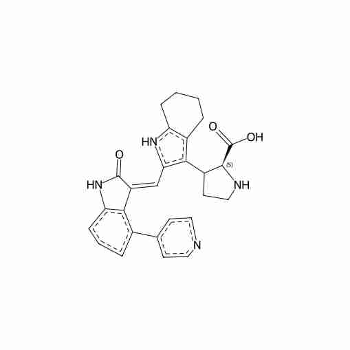 O=C1Nc2cccc(-c3ccncc3)c2C1=Cc1[nH]c2c(c1C1CCN[C@@H]1C(=O)O)CCCC2